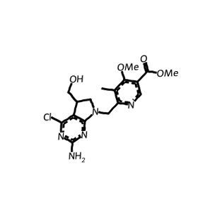 COC(=O)c1cnc(CN2CC(CO)c3c(Cl)nc(N)nc32)c(C)c1OC